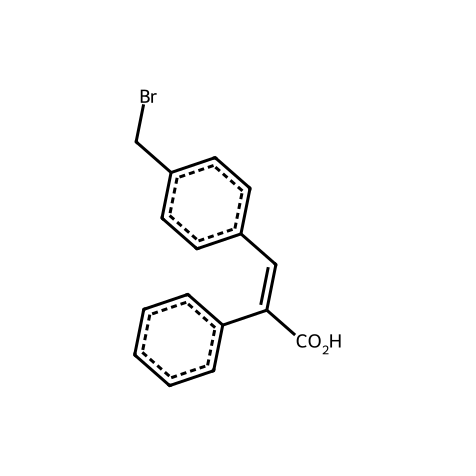 O=C(O)C(=Cc1ccc(CBr)cc1)c1ccccc1